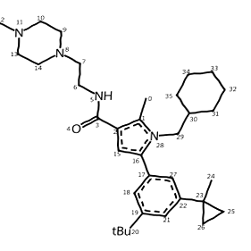 Cc1c(C(=O)NCCN2CCN(C)CC2)cc(-c2cc(C(C)(C)C)cc(C3(C)CC3)c2)n1CC1CCCCC1